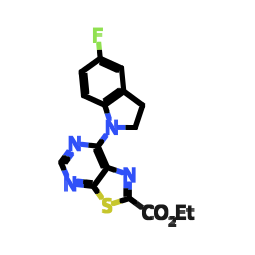 CCOC(=O)c1nc2c(N3CCc4cc(F)ccc43)ncnc2s1